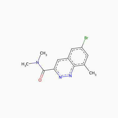 Cc1cc(Br)cc2cc(C(=O)N(C)C)nnc12